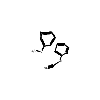 C#CNc1ccccc1.COc1ccccc1